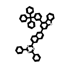 c1ccc(-c2nc(-c3ccccc3)nc(-c3ccc4cc(-c5cc(-c6cccc(C(c7ccccc7)(c7ccccc7)c7ccccc7)c6)c6c(c5)oc5ccccc56)ccc4c3)n2)cc1